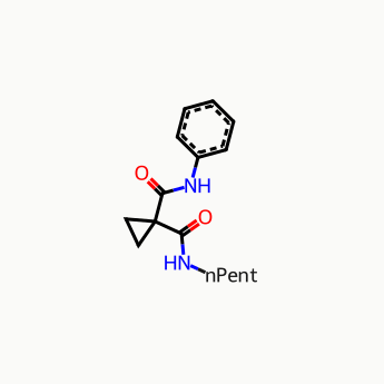 CCCCCNC(=O)C1(C(=O)Nc2ccccc2)CC1